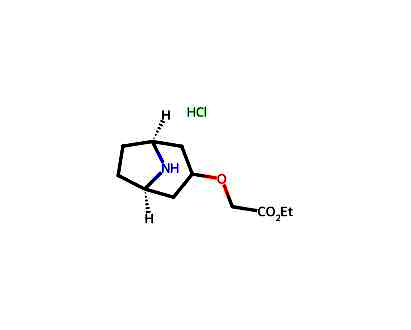 CCOC(=O)COC1C[C@H]2CC[C@@H](C1)N2.Cl